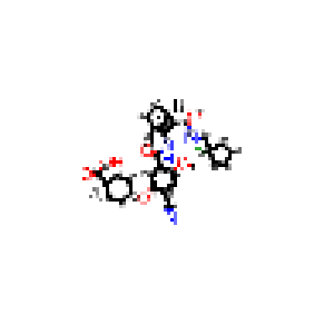 COc1cc(C#N)c(O[C@H]2CC[C@@](C)(C(=O)O)CC2)cc1C(=O)N[C@@H]1[C@H]2CC[C@H](C2)[C@@H]1C(=O)NCC1(F)CCCC1